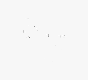 CNc1nc(-c2n[nH]c(=O)[nH]2)cc2ccccc12